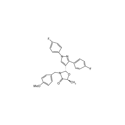 COc1ccc(CN2C(=O)[C@H](C)O[C@H]2c2cn(-c3ccc(F)cc3)nc2-c2ccc(F)cc2)cc1